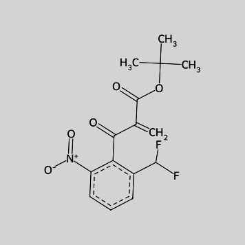 C=C(C(=O)OC(C)(C)C)C(=O)c1c(C(F)F)cccc1[N+](=O)[O-]